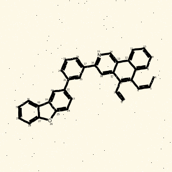 C=Cc1c(/C=C\C)c2ccccc2c2cnc(-c3cccc(-c4ccc5oc6ccccc6c5c4)c3)cc12